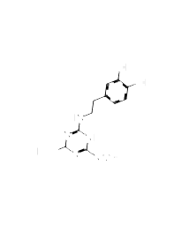 CNC1=NC(C)N=C(NCCc2ccc(O)c(O)c2)N1